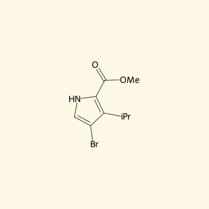 COC(=O)c1[nH]cc(Br)c1C(C)C